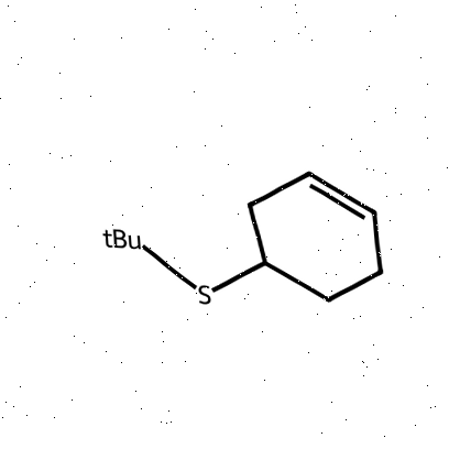 CC(C)(C)SC1CC=CCC1